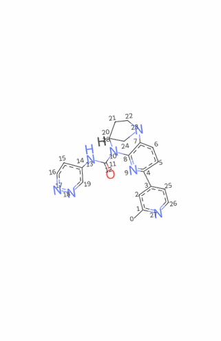 Cc1cc(-c2ccc3c(n2)N(C(=O)Nc2ccnnc2)[C@H]2CCN3C2)ccn1